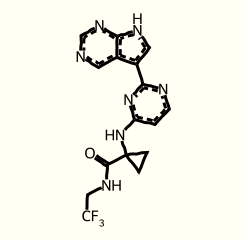 O=C(NCC(F)(F)F)C1(Nc2ccnc(-c3c[nH]c4ncncc34)n2)CC1